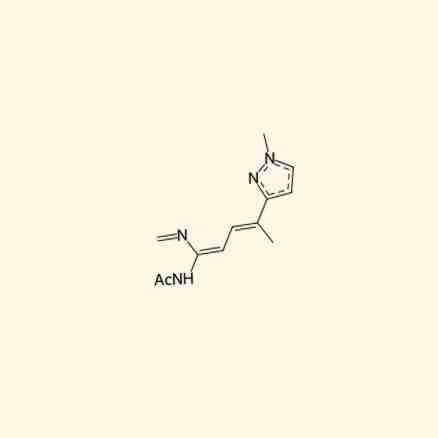 C=N/C(=C\C=C(/C)c1ccn(C)n1)NC(C)=O